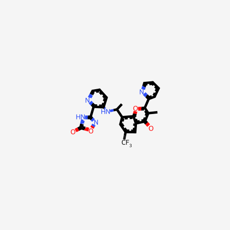 Cc1c(-c2ccccn2)oc2c(C(C)Nc3cccnc3-c3noc(=O)[nH]3)cc(C(F)(F)F)cc2c1=O